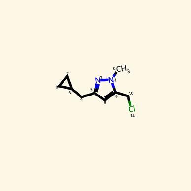 Cn1nc(CC2CC2)cc1CCl